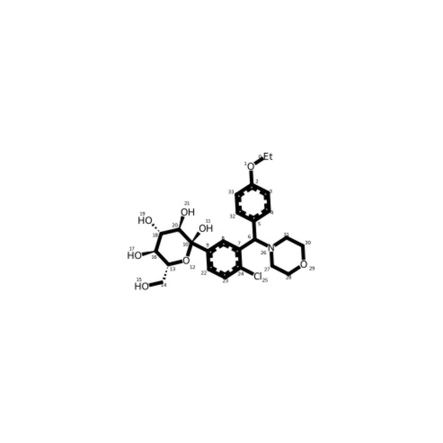 CCOc1ccc(C(c2cc([C@]3(O)O[C@H](CO)[C@@H](O)[C@H](O)[C@H]3O)ccc2Cl)N2CCOCC2)cc1